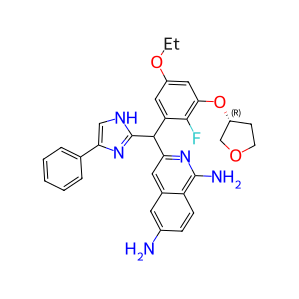 CCOc1cc(O[C@@H]2CCOC2)c(F)c(C(c2cc3cc(N)ccc3c(N)n2)c2nc(-c3ccccc3)c[nH]2)c1